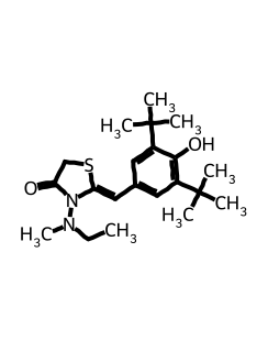 CCN(C)N1C(=O)CSC1=Cc1cc(C(C)(C)C)c(O)c(C(C)(C)C)c1